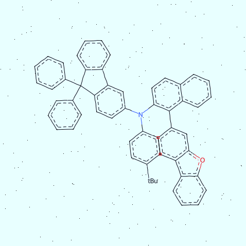 CC(C)(C)c1ccc(N(c2ccc3c(c2)-c2ccccc2C3(c2ccccc2)c2ccccc2)c2ccc3ccccc3c2-c2ccc3c(c2)oc2ccccc23)cc1